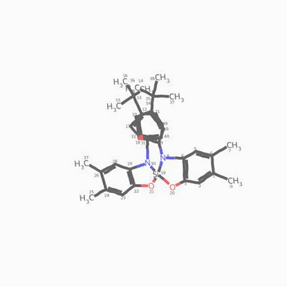 Cc1cc2c(cc1C)N(c1ccc(C(C)(C)C)cc1)[Si]1(O2)Oc2cc(C)c(C)cc2N1c1ccc(C(C)(C)C)cc1